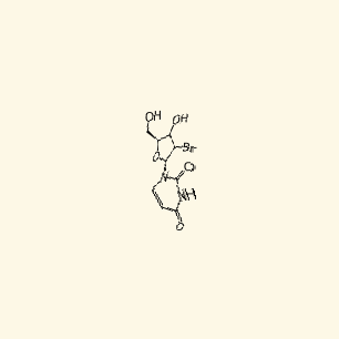 O=c1ccn([C@H]2O[C@@H](CO)C(O)C2Br)c(=O)[nH]1